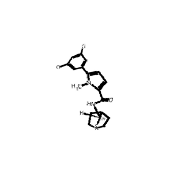 Cn1c(C(=O)N[C@H]2CN3CCC2CC3)ccc1-c1cc(Cl)cc(Cl)c1